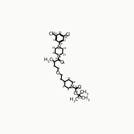 CC(CCOCCC1CCN(C(=O)OC(C)(C)C)CC1)C(=O)N1CCN(c2cc(Cl)cc(Cl)c2)CC1